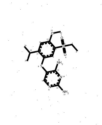 CCS(=O)(=O)c1cc(Sc2cnc(N)nc2N)c(C(C)C)cc1OC